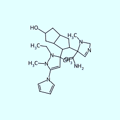 CCN1N(C)C(n2cccc2)=CC1(C)C1C2CC(O)CC2CC1C1(C(N)=O)C=NCN1C